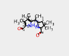 C/C(=C1\CC(C)(C)C(C=O)=N1)c1[nH]c(C=O)c(C)c1C